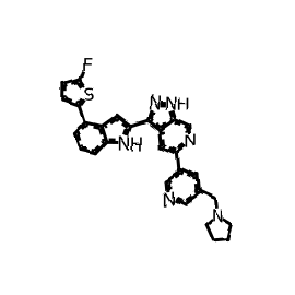 Fc1ccc(-c2cccc3[nH]c(-c4n[nH]c5cnc(-c6cncc(CN7CCCC7)c6)cc45)cc23)s1